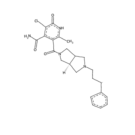 Cc1[nH]c(=O)c(Cl)c(C(N)=O)c1C(=O)N1CC2CN(CC[CH]c3ccccc3)C[C@H]2C1